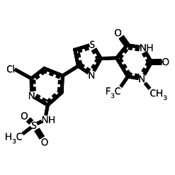 Cn1c(C(F)(F)F)c(-c2nc(-c3cc(Cl)nc(NS(C)(=O)=O)c3)cs2)c(=O)[nH]c1=O